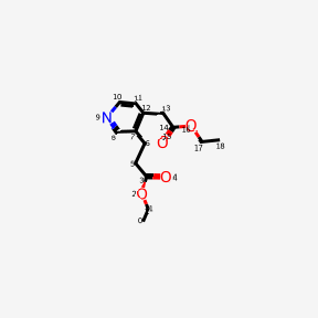 CCOC(=O)CCc1cnccc1CC(=O)OCC